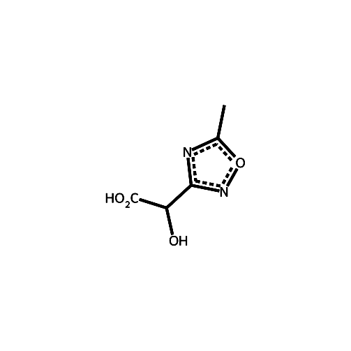 Cc1nc(C(O)C(=O)O)no1